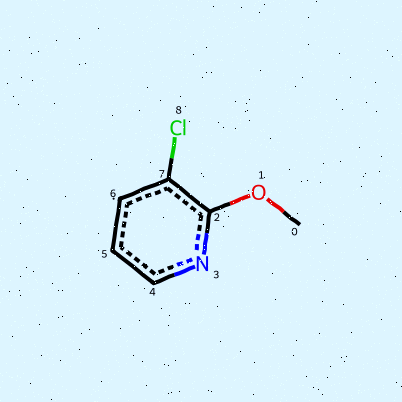 COc1ncc[c]c1Cl